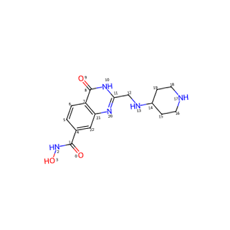 O=C(NO)c1ccc2c(=O)[nH]c(CNC3CCNCC3)nc2c1